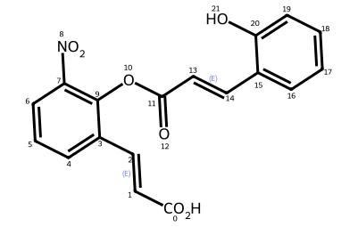 O=C(O)/C=C/c1cccc([N+](=O)[O-])c1OC(=O)/C=C/c1ccccc1O